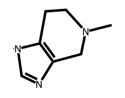 CN1CCC2=C(C1)N=C[N]2